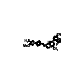 CO[C@@H]1CN(c2ccc(CCN3CCN4[C@@H](C3)CN(c3ccc(C#N)n5ncc(F)c35)C[C@H]4C)cc2)C[C@H]1N